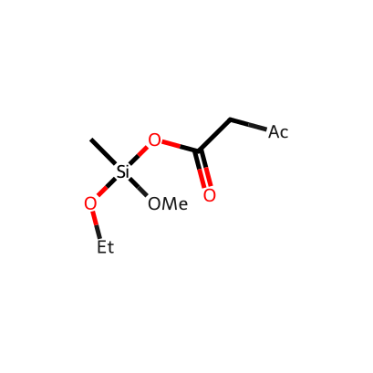 CCO[Si](C)(OC)OC(=O)CC(C)=O